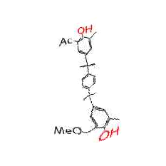 COCc1cc(C(C)(C)c2ccc(C(C)(C)c3cc(C)c(O)c(C(C)=O)c3)cc2)cc(C)c1O